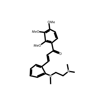 COc1ccc(C(=O)C=Cc2ccccc2N(C)CCN(C)C)c(OC)c1OC